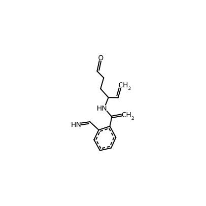 C=CC(CCC=O)NC(=C)c1ccccc1C=N